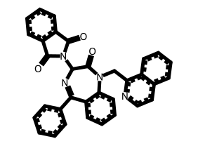 O=C1C(N2C(=O)c3ccccc3C2=O)N=C(c2ccccc2)c2ccccc2N1Cc1nccc2ccccc12